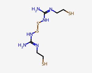 NC(=NCCS)NSSNC(N)=NCCS